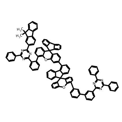 CC1(C)c2ccccc2-c2ccc(-c3nc(-c4ccccc4)nc(-c4ccccc4-c4cccc5c4Oc4cc(-c6cccc7c6-c6ccccc6C76c7ccccc7Oc7c(-c8cccc(-c9cccc(-c%10nc(-c%11ccccc%11)nc(-c%11ccccc%11)n%10)c9)c8)cccc76)ccc4C54c5ccccc5-c5ccccc54)n3)cc21